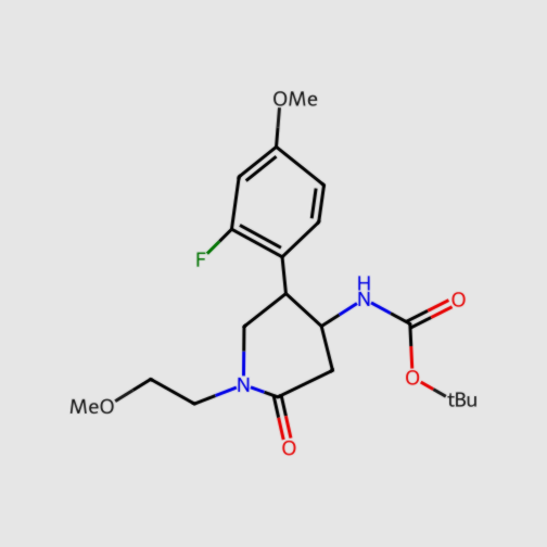 COCCN1CC(c2ccc(OC)cc2F)C(NC(=O)OC(C)(C)C)CC1=O